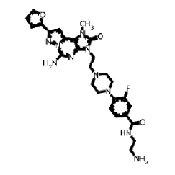 Cn1c(=O)n(CCN2CCN(c3ccc(C(=O)NCCN)cc3F)CC2)c2nc(N)n3nc(-c4ccco4)cc3c21